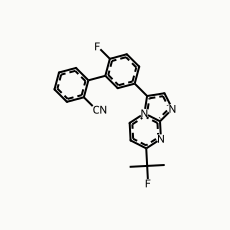 CC(C)(F)c1ccn2c(-c3ccc(F)c(-c4ccccc4C#N)c3)cnc2n1